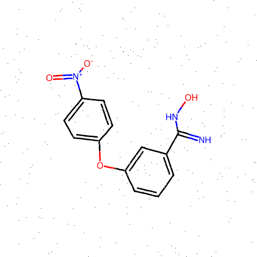 N=C(NO)c1cccc(Oc2ccc([N+](=O)[O-])cc2)c1